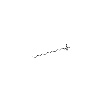 CCCCCCCCCCCC/C=C/[SiH](C)C